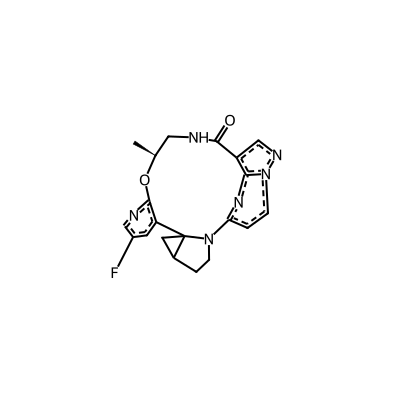 C[C@H]1CNC(=O)c2cnn3ccc(nc23)N2CCC3CC32c2cc(F)cnc2O1